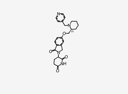 O=C1CCC(N2Cc3cc(OC[C@@H]4CCCCN4Cc4ccncc4)ccc3C2=O)C(=O)N1